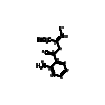 CCOC(=O)/C(CC(=O)c1cccnc1N)=N\I